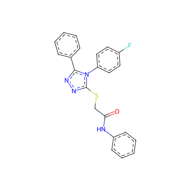 O=C(CSc1nnc(-c2ccccc2)n1-c1ccc(F)cc1)Nc1ccccc1